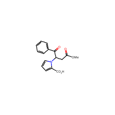 COC(=O)CC(C(=O)c1ccccc1)n1cccc1C(=O)O